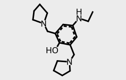 CCNc1cc(CN2CCCC2)c(O)c(CN2CCCC2)c1